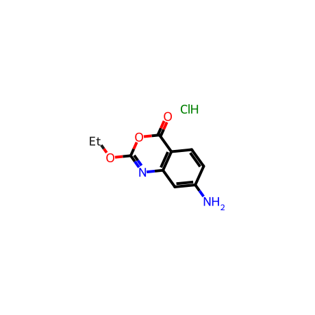 CCOc1nc2cc(N)ccc2c(=O)o1.Cl